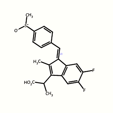 CC1=C(C(C)C(=O)O)c2cc(F)c(F)cc2/C1=C/c1ccc([S+](C)[O-])cc1